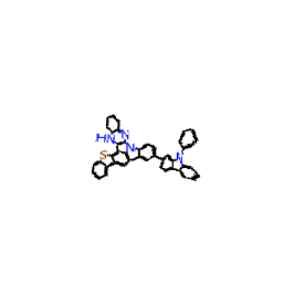 C1=CC2=Nc3c(c4c5sc6ccccc6c5cc5c6cc(-c7ccc8c9ccccc9n(-c9ccccc9)c8c7)ccc6n3c54)NC2C=C1